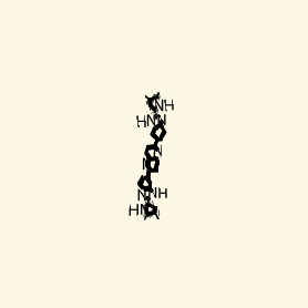 C[C@@H]1C[C@@H](c2nc3ccc(-c4ccc5nc(-c6ccc7nc([C@@H]8C[C@@H](C)[C@@H](C)N8)[nH]c7c6)ccc5n4)cc3[nH]2)N[C@@H]1C